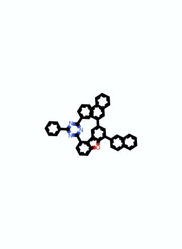 c1ccc(-c2nc(-c3ccccc3)nc(-c3cccc4oc5c(-c6ccc7ccccc7c6)cc(-c6ccc7ccccc7c6)cc5c34)n2)cc1